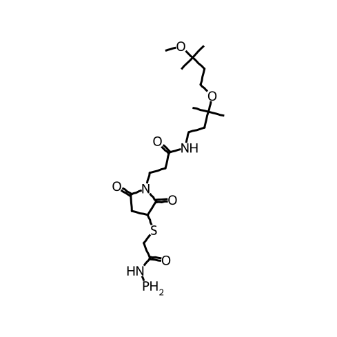 COC(C)(C)CCOC(C)(C)CCNC(=O)CCN1C(=O)CC(SCC(=O)NP)C1=O